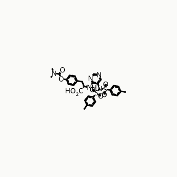 Cc1ccc(S(=O)(=O)N(c2cncnc2N[C@@H](Cc2ccc(OC(=O)N(C)C)cc2)C(=O)O)S(=O)(=O)c2ccc(C)cc2)cc1